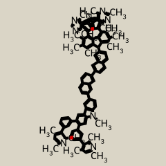 CCn1c2ccc(-c3ccc4ccc(-c5ccc6ccc(C7c8c(C)c(C)c(C)c(-c9cccc(-c%10c(C)ncnc%10C)c9)c8-c8c(-c9cccc(-c%10c(C)nc(C)nc%10C)c9)c(C)c(C)c(C)c87)cc6c5)cc4c3)cc2c2cc(-c3cccc(-c4c(C)cc(C)nc4C)c3)c(-c3cccc(-c4c(C)cc(C)nc4C)c3)cc21